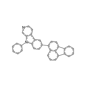 c1ccc(-n2c3ccc(-c4ccc5c6c(cccc46)-c4ccccc4-5)cc3c3ccncc32)cc1